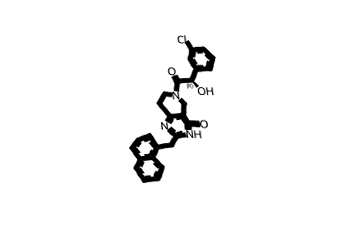 O=C([C@H](O)c1cccc(Cl)c1)N1CCc2nc(Cc3cccc4ccccc34)[nH]c(=O)c2C1